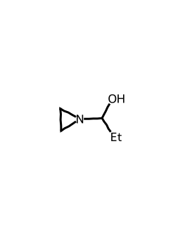 CCC(O)N1CC1